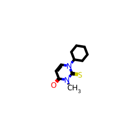 Cn1c(=O)ccn(C2CCCCC2)c1=S